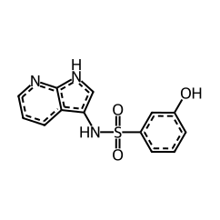 O=S(=O)(Nc1c[nH]c2ncccc12)c1cccc(O)c1